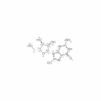 CCc1nc2c(=O)[nH]c(N)nc2n1[C@@H]1O[C@H](CO)[C@@H](O)[C@H]1O